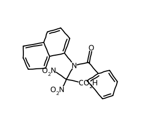 O=C(c1ccccc1)N(c1cccc2ccccc12)C(C(=O)O)([N+](=O)[O-])[N+](=O)[O-]